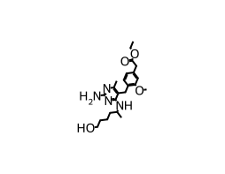 CCOC(=O)Cc1ccc(Cc2c(C)nc(N)nc2NC(C)CCCCO)c(OC)c1